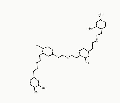 CCCC1CCC(CCSCCC2CCC(CCSCCC3CCC(CCC)C(CCSCCC4CCC(CCC)C(CCC)C4)C3)C(CCC)C2)C(CCC)C1